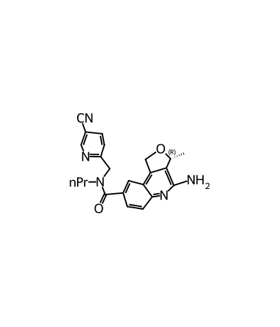 CCCN(Cc1ccc(C#N)cn1)C(=O)c1ccc2nc(N)c3c(c2c1)CO[C@@H]3C